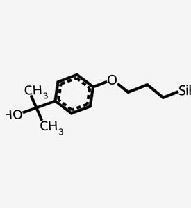 CC(C)(O)c1ccc(OCCC[SiH3])cc1